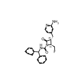 Nc1cc(C[C@H]2C(=O)N(C(=O)NC(c3ccccc3)c3ccccc3)[C@@H]2CF)ccn1